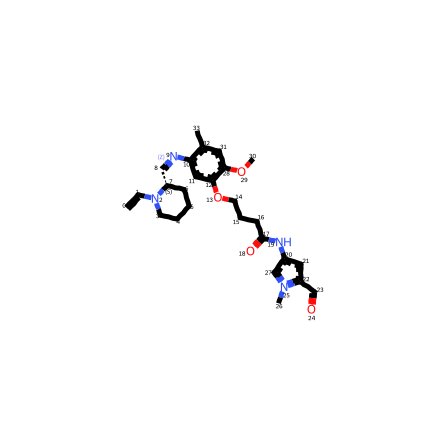 C=CN1CCCC[C@H]1/C=N\c1cc(OCCCC(=O)Nc2cc(C=O)n(C)c2)c(OC)cc1C